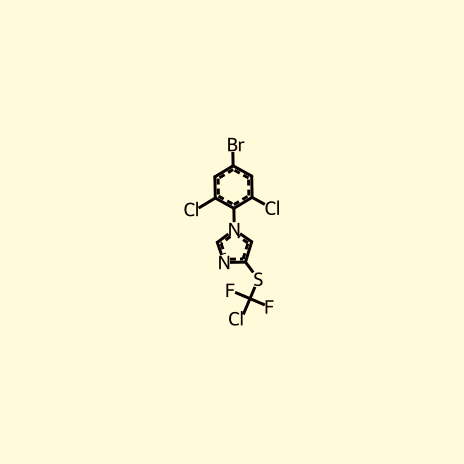 FC(F)(Cl)Sc1cn(-c2c(Cl)cc(Br)cc2Cl)cn1